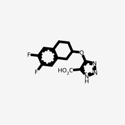 O=C(O)c1[nH]nnc1OC1CCc2cc(F)c(F)cc2C1